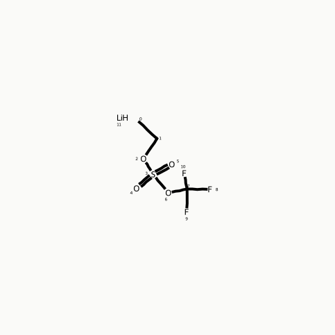 CCOS(=O)(=O)OC(F)(F)F.[LiH]